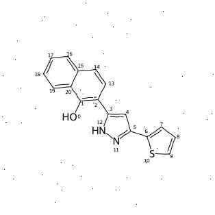 Oc1c(-c2cc(-c3cccs3)n[nH]2)ccc2ccccc12